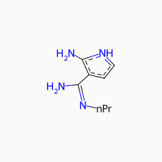 CCC/N=C(/N)c1cc[nH]c1N